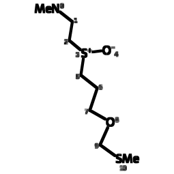 CNCC[S+]([O-])CCCOCSC